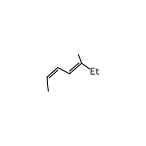 C/C=C\C=C(/C)CC